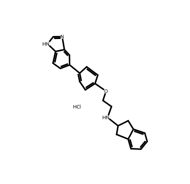 Cl.c1ccc2c(c1)CC(NCCOc1ccc(-c3ccc4[nH]cnc4c3)cc1)C2